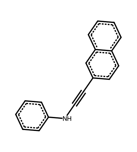 C(#Cc1ccc2ccccc2c1)Nc1ccccc1